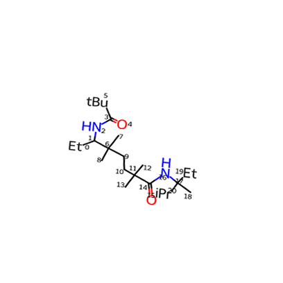 CCC(NC(=O)C(C)(C)C)C(C)(C)CCC(C)(C)C(=O)NC(C)(CC)C(C)C